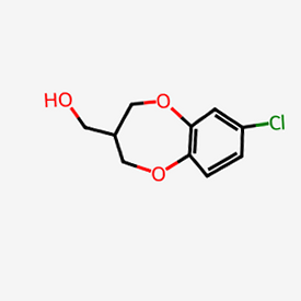 OCC1COc2ccc(Cl)cc2OC1